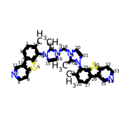 Cc1ccc2c(sc3ccncc32)c1N1C=CN(CN2C=CN(c3c(C)ccc4c3sc3ccncc34)[C@H]2C)[C@H]1C